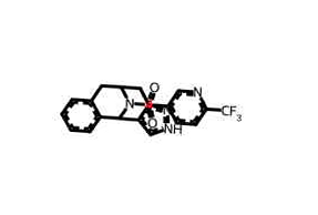 O=S(=O)(c1ccc(C(F)(F)F)nc1)N1C2Cc3ccccc3C1c1c[nH]nc1C2